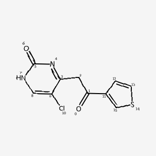 O=C(Cc1nc(=O)[nH]cc1Cl)c1ccsc1